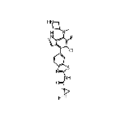 CN(c1c(F)c(Cl)c(-c2ccc3nc(NC(=O)[C@@H]4C[C@@H]4F)sc3c2)c2cn[nH]c12)C1CNC1